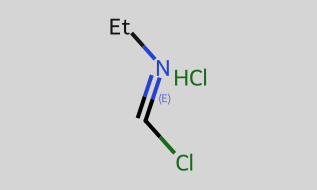 CC/N=C/Cl.Cl